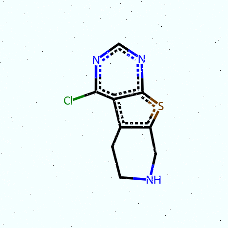 Clc1ncnc2sc3c(c12)CCNC3